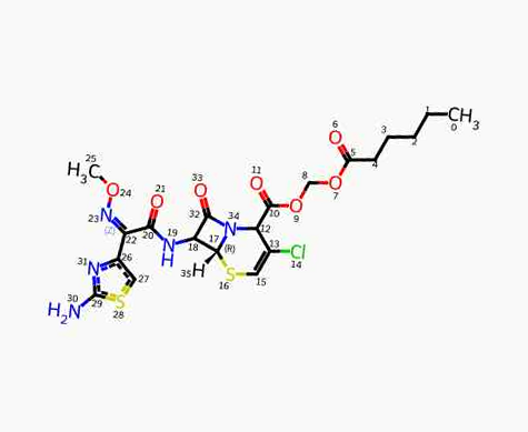 CCCCCC(=O)OCOC(=O)C1C(Cl)=CS[C@@H]2C(NC(=O)/C(=N\OC)c3csc(N)n3)C(=O)N12